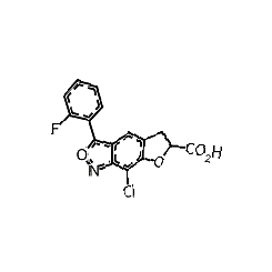 O=C(O)C1Cc2cc3c(-c4ccccc4F)onc3c(Cl)c2O1